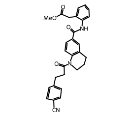 COC(=O)Cc1ccccc1NC(=O)c1ccc2c(c1)CCCN2C(=O)CCc1ccc(C#N)cc1